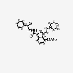 COc1cccc2c(C(=O)NCC(=O)c3ccccc3)nn(CCN3CCOCC3)c12